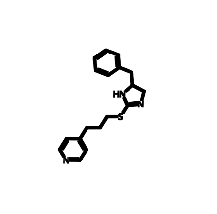 c1ccc(CC2CN=C(SCCCc3ccncc3)N2)cc1